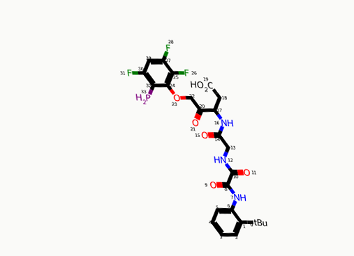 CC(C)(C)c1ccccc1NC(=O)C(=O)NCC(=O)NC(CC(=O)O)C(=O)COc1c(F)c(F)cc(F)c1P